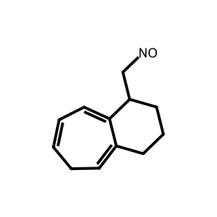 O=NCC1CCCC2=CCC=CC=C21